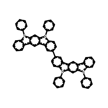 c1ccc(-n2c3ccccc3c3cc4c5cc(-c6ccc7c(c6)c6cc8c9ccccc9n(-c9ccccc9)c8cc6n7-c6ccccc6)ccc5n(-c5ccccc5)c4cc32)cc1